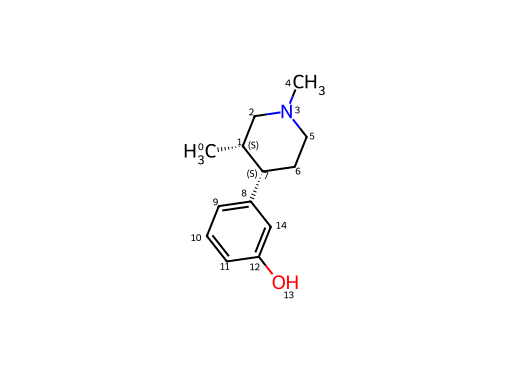 C[C@@H]1CN(C)CC[C@@H]1c1cccc(O)c1